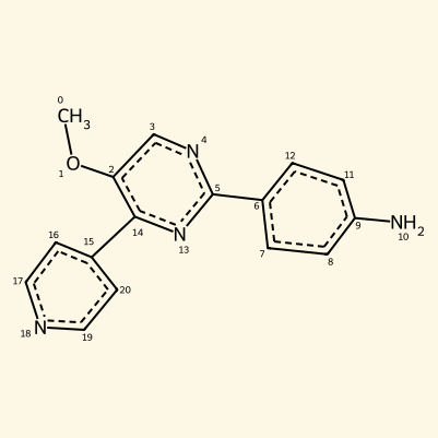 COc1cnc(-c2ccc(N)cc2)nc1-c1ccncc1